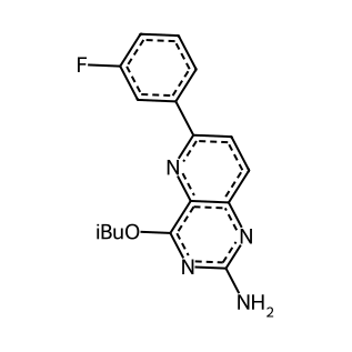 CC(C)COc1nc(N)nc2ccc(-c3cccc(F)c3)nc12